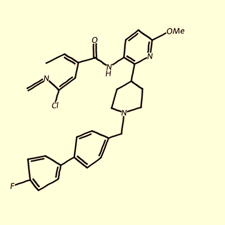 C=N/C(Cl)=C\C(=C/C)C(=O)Nc1ccc(OC)nc1C1CCN(Cc2ccc(-c3ccc(F)cc3)cc2)CC1